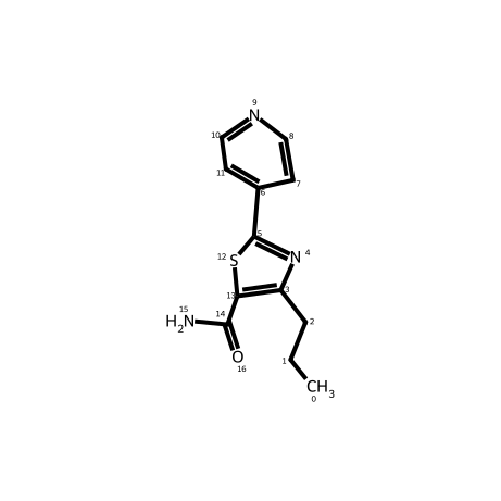 CCCc1nc(-c2ccncc2)sc1C(N)=O